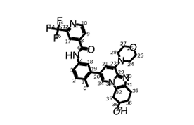 Cc1ccc(NC(=O)c2ccnc(C(F)(F)F)c2)cc1-c1cc(N2CCOCC2)c2nc3c(n2c1)CC(O)CC3